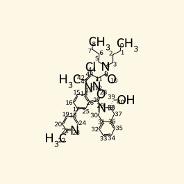 CCCCN(CCCC)C(=O)c1nn(-c2ccc(-c3ccc(C)nc3)cc2C(=O)N2Cc3ccccc3C[C@H]2CO)c(C)c1Cl